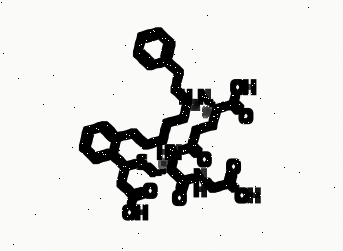 N[C@@H](CCC(=O)N[C@@H](CSC(CC(=O)O)c1ccccc1CCCCCCCCc1ccccc1)C(=O)NCC(=O)O)C(=O)O